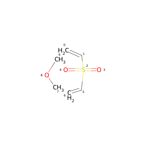 C=CS(=O)(=O)C=C.COC